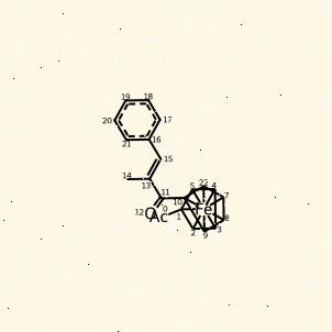 CC(=O)[C]12[CH]3[CH]4[CH]5[CH]1[Fe]45321678[CH]2[CH]1[CH]6[C]7(C(=O)C(C)=Cc1ccccc1)[CH]28